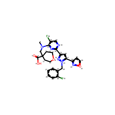 CN(CC1(C(=O)O)CCOCC1)c1nc(-c2cc(-c3ccon3)n(Cc3ccccc3F)n2)ncc1F